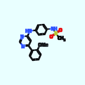 COc1ccccc1-c1cc(Nc2ccc(NS(C)(=O)=O)cc2)ncn1